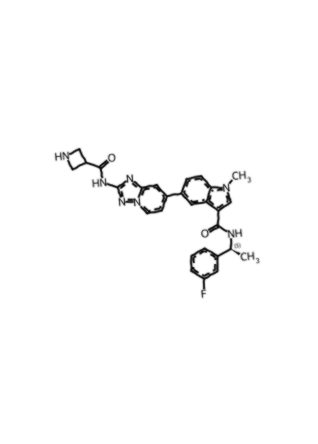 C[C@H](NC(=O)c1cn(C)c2ccc(-c3ccn4nc(NC(=O)C5CNC5)nc4c3)cc12)c1cccc(F)c1